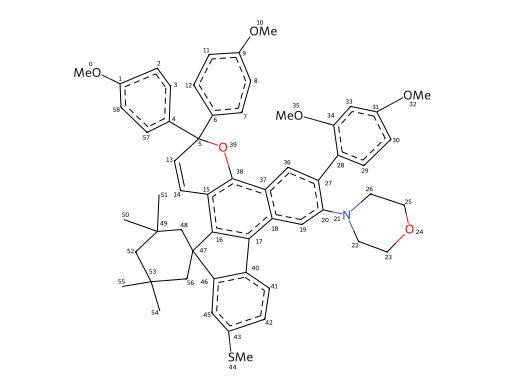 COc1ccc(C2(c3ccc(OC)cc3)C=Cc3c4c(c5cc(N6CCOCC6)c(-c6ccc(OC)cc6OC)cc5c3O2)-c2ccc(SC)cc2C42CC(C)(C)CC(C)(C)C2)cc1